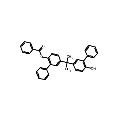 CC(C)(c1ccc(O)c(-c2ccccc2)c1)c1ccc(OC(=O)c2ccccc2)c(-c2ccccc2)c1